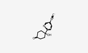 [C-]#[N+]c1ccc(C2(O)CCC(=O)CC2)nc1